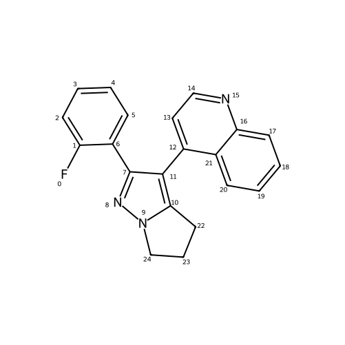 Fc1ccccc1-c1nn2c(c1-c1ccnc3ccccc13)CCC2